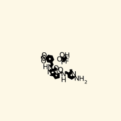 Cc1nc(N)ccc1CNC(=O)[C@@H]1CCc2cnc(NCc3cccc(S(C)(=O)=O)c3)c(=O)n21.O=C(O)C(F)(F)F